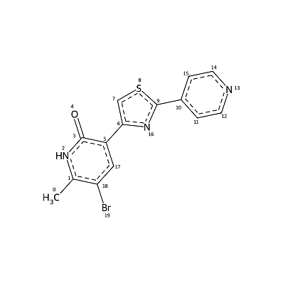 Cc1[nH]c(=O)c(-c2csc(-c3ccncc3)n2)cc1Br